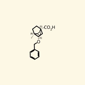 C[C@@]12CC[C@@](C(=O)O)(C[C@@H]1OCc1ccccc1)O2